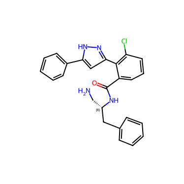 NC[C@@H](Cc1ccccc1)NC(=O)c1cccc(Cl)c1-c1cc(-c2ccccc2)[nH]n1